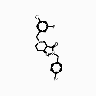 O=C1C2CN(Cc3cc(F)cc(Cl)c3)CCC2=NN1Cc1ccc(Br)cc1